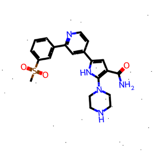 CS(=O)(=O)c1cccc(-c2cc(-c3cc(C(N)=O)c(N4CCNCC4)[nH]3)ccn2)c1